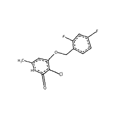 Cc1cc(OCc2ccc(F)cc2F)c(Cl)c(=O)[nH]1